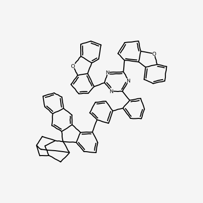 c1cc(-c2ccccc2-c2nc(-c3cccc4oc5ccccc5c34)nc(-c3cccc4oc5ccccc5c34)n2)cc(-c2cccc3c2-c2cc4ccccc4cc2C32C3CC4CC(C3)CC2C4)c1